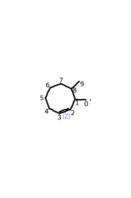 [CH2]C1/C=C\CCCCC1C